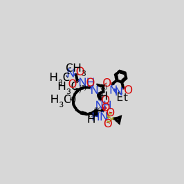 CCn1nc(O[C@@H]2C[C@H]3C(=O)N[C@]4(C(=O)NS(=O)(=O)C5CC5)C[C@H]4C=CCC[C@H](C)C[C@@H](C)[C@H](NC(=O)C(=O)N(C)C)C(=O)N3C2)c2ccccc2c1=O